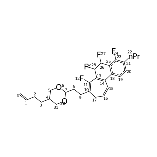 C=CCCC1COC(CCC2=C(F)C3=C(C=CC2)c2ccc(CCC)c(F)c2C(F)C3F)OC1